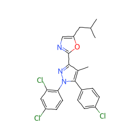 Cc1c(-c2ncc(CC(C)C)o2)nn(-c2ccc(Cl)cc2Cl)c1-c1ccc(Cl)cc1